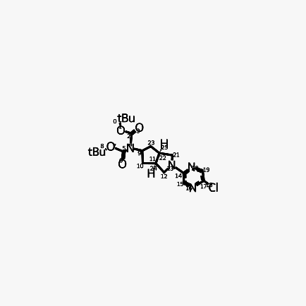 CC(C)(C)OC(=O)N(C(=O)OC(C)(C)C)C1C[C@@H]2CN(c3cnc(Cl)cn3)C[C@@H]2C1